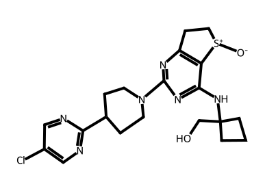 [O-][S+]1CCc2nc(N3CCC(c4ncc(Cl)cn4)CC3)nc(NC3(CO)CCC3)c21